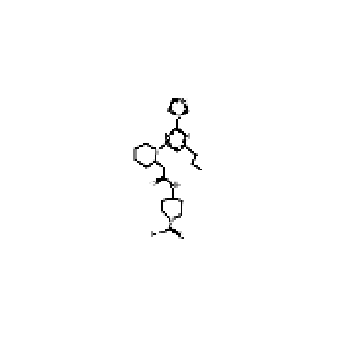 CCCc1cc(N2CCCCC2CC(=O)NC2CCN(C(=O)O)CC2)nc(-n2ccnc2)n1